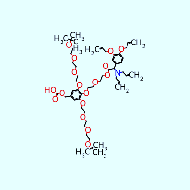 C=CCOc1ccc(C(C(=O)OCCOCCOc2c(OCCOCCOCCOC(C)(C)C)cc(COC(=O)O)cc2OCCOCCOCCOC(C)(C)C)N(CC=C)CC=C)cc1OCC=C